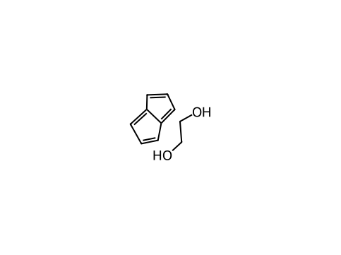 C1=CC2=CC=CC2=C1.OCCO